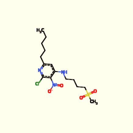 CCCCCc1cc(NCCCCS(C)(=O)=O)c([N+](=O)[O-])c(Cl)n1